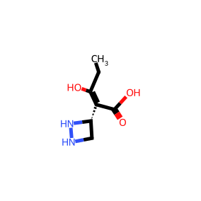 CC/C(O)=C(\C(=O)O)[C@@H]1CNN1